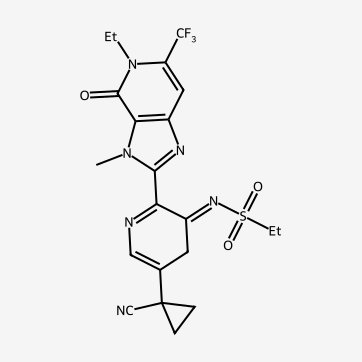 CCn1c(C(F)(F)F)cc2nc(C3=NC=C(C4(C#N)CC4)CC3=NS(=O)(=O)CC)n(C)c2c1=O